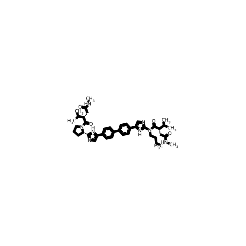 CCCCN(C(=O)[C@@H](CC(=O)NC)C(C)C)c1ncc(-c2ccc(-c3ccc(-c4cnc([C@@H]5CCCN5C(=O)[C@@H](CC(=O)NC)C(C)C)[nH]4)cc3)cc2)[nH]1